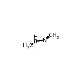 C=NBC